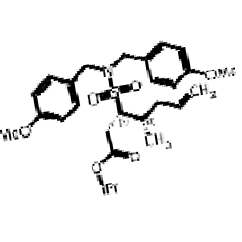 C=CC[C@H](C)[C@H](CC(=O)OC(C)C)S(=O)(=O)N(Cc1ccc(OC)cc1)Cc1ccc(OC)cc1